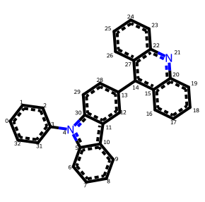 c1ccc(-n2c3ccccc3c3cc(-c4c5ccccc5nc5ccccc45)ccc32)cc1